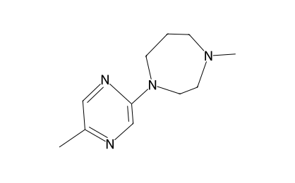 Cc1cnc(N2CCCN(C)CC2)cn1